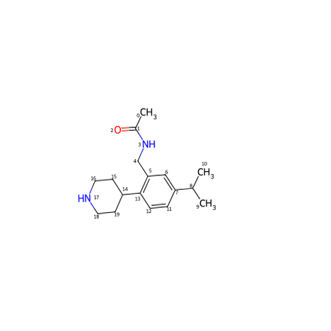 CC(=O)NCc1cc(C(C)C)ccc1C1CCNCC1